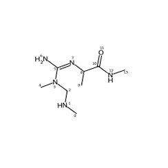 CNCN(C)/C(N)=N\C(C)C(=O)NC